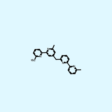 Cc1cccc(-c2cccc(Cc3cc(C)nc(-c4cccc(C(C)(C)C)n4)c3)n2)n1